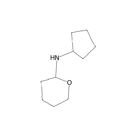 C1CCC(NC2CCCC2)OC1